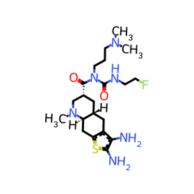 CN(C)CCCN(C(=O)NCCF)C(=O)[C@@H]1C[C@@H]2Cc3c(sc(N)c3N)C[C@H]2N(C)C1